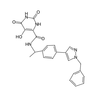 CC(NC(=O)c1[nH]c(=O)[nH]c(=O)c1O)c1ccc(-c2cnn(Cc3ccccc3)c2)cc1